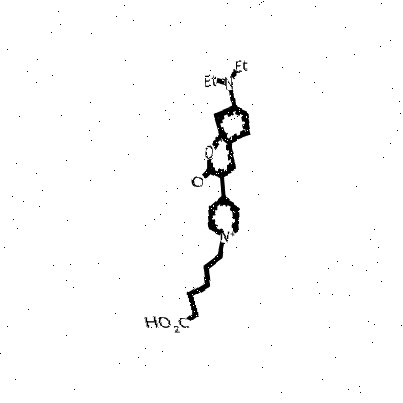 CCN(CC)c1ccc2cc(-c3cc[n+](CCCCCC(=O)O)cc3)c(=O)oc2c1